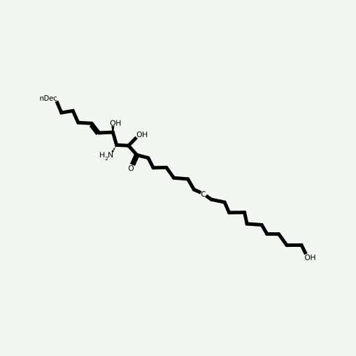 CCCCCCCCCCCCC/C=C/[C@@H](O)[C@@H](N)C(O)C(=O)CCCCCCCCCCCCCCCCCO